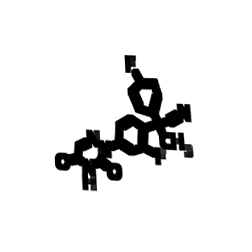 CC(C#N)(c1ccc(F)cc1)c1ccc(-n2ncc(=O)[nH]c2=O)cc1F